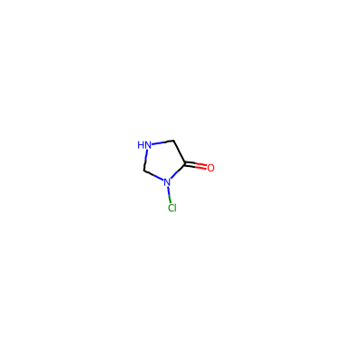 O=C1CNCN1Cl